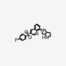 O=S(=O)(c1ccc(F)cc1)c1cnc2c(N3CC4CCNC4C3)cccc2c1